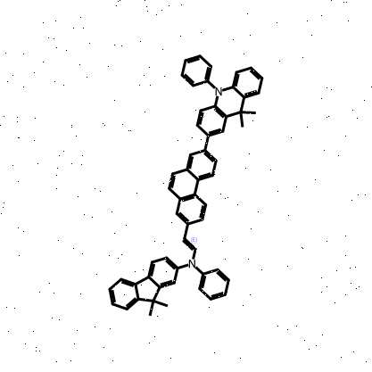 CC1(C)c2ccccc2-c2ccc(N(/C=C/c3ccc4c(ccc5cc(-c6ccc7c(c6)C(C)(C)c6ccccc6N7c6ccccc6)ccc54)c3)c3ccccc3)cc21